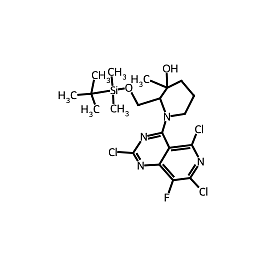 CC1(O)CCCN(c2nc(Cl)nc3c(F)c(Cl)nc(Cl)c23)C1CO[Si](C)(C)C(C)(C)C